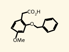 COc1ccc(CC(=O)O)c(OCc2ccccc2)c1